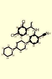 CC(Nc1cc(N2CCC(N3CCCCC3)CC2)ccc1C#N)c1ccc(Cl)cc1Cl